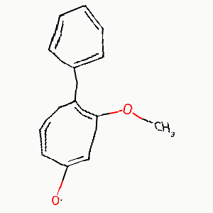 COc1cc([O])ccc1-c1ccccc1